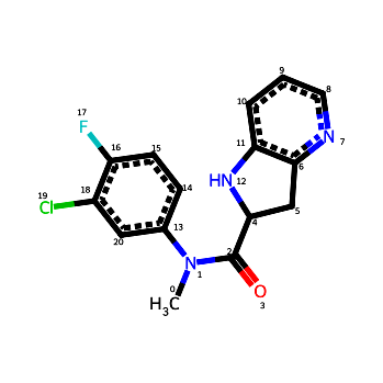 CN(C(=O)C1Cc2ncccc2N1)c1ccc(F)c(Cl)c1